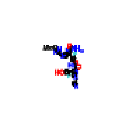 COc1ncc(CN2CCc3c(-c4ccc(ONC(=O)c5cc(-c6ccc(O)cc6F)c6c(n5)CN(Cc5cccnc5)CC6)cc4F)cc(C(N)=O)nc3C2)cn1